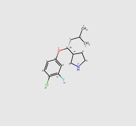 CC(C)C[C@@H](Oc1ccc(Cl)c(F)c1)C1CCNC1